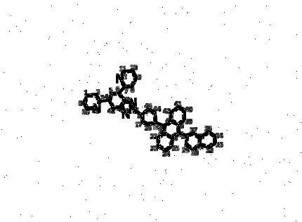 c1ccc(-c2cc(-c3ccccn3)c3nn(-c4ccc(-c5c6ccccc6c(-c6ccc7ccccc7c6)c6ccccc56)cc4)nc3c2)nc1